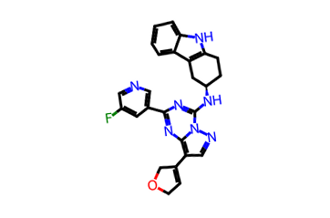 Fc1cncc(-c2nc(N[C@@H]3CCc4[nH]c5ccccc5c4C3)n3ncc(C4=CCOC4)c3n2)c1